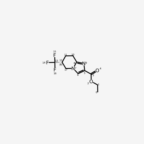 CCOC(=O)c1cn2c(n1)CC[C@@H](C(F)(F)F)C2